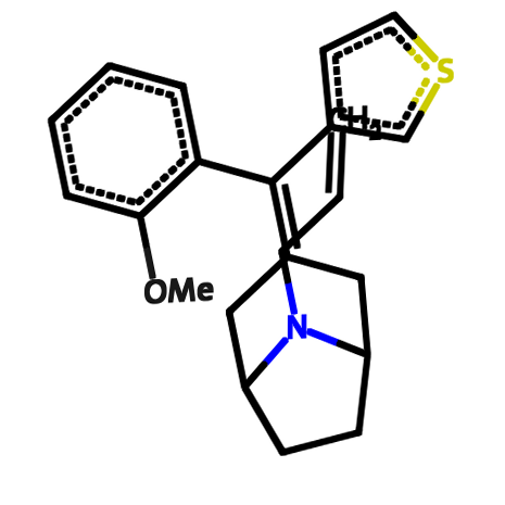 C=CCN1C2CCC1CC(=C(c1ccsc1)c1ccccc1OC)C2